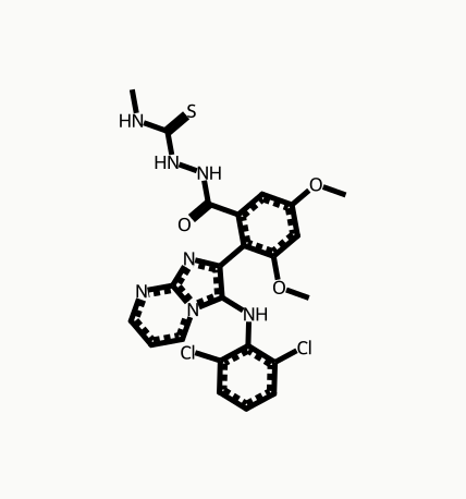 CNC(=S)NNC(=O)c1cc(OC)cc(OC)c1-c1nc2ncccn2c1Nc1c(Cl)cccc1Cl